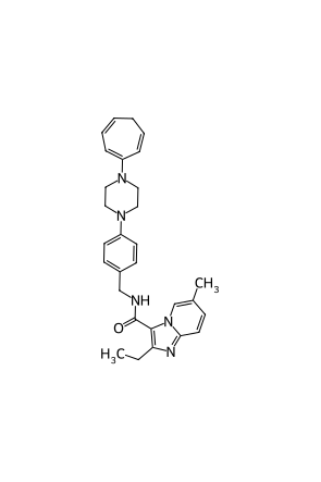 CCc1nc2ccc(C)cn2c1C(=O)NCc1ccc(N2CCN(C3=CC=CCC=C3)CC2)cc1